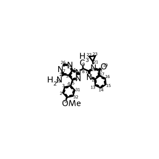 COc1ccc(-c2nn(C(C)c3nc4ccccc4c(=O)n3C3CC3)c3ncnc(N)c23)cc1